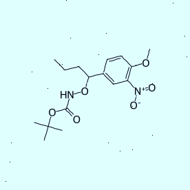 CCCC(ONC(=O)OC(C)(C)C)c1ccc(OC)c([N+](=O)[O-])c1